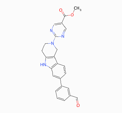 COC(=O)c1cnc(N2CCc3[nH]c4cc(-c5cccc(C=O)c5)ccc4c3C2)nc1